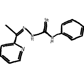 CC(=NNC(=[Se])Nc1ccccc1)c1ccccn1